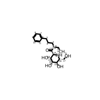 CCN(CCCc1ccccc1)C(=O)[C@H]1N[C@H](CO)[C@@H](O)[C@H](O)[C@@H]1O